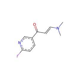 CN(C)C=CC(=O)c1ccc(I)nc1